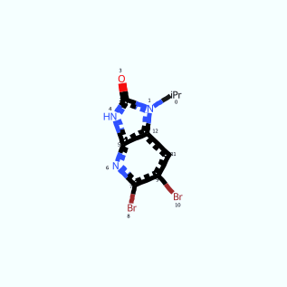 CC(C)n1c(=O)[nH]c2nc(Br)c(Br)cc21